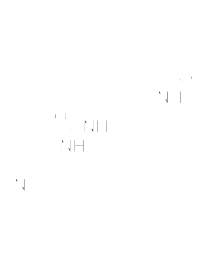 C=C1CN(CCCNC(=O)NC(c2ccccc2)c2ccc3[nH]c(=O)c(C)cc3c2)C1